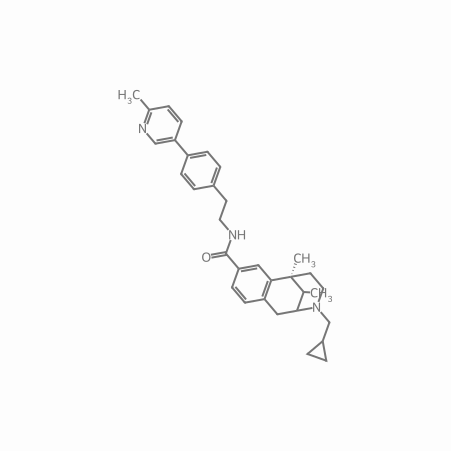 Cc1ccc(-c2ccc(CCNC(=O)c3ccc4c(c3)[C@@]3(C)CCN(CC5CC5)C(C4)C3C)cc2)cn1